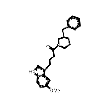 COc1ccc2[nH]cc(CCCC(=O)N3CCCC(Cc4ccccc4)C3)c2c1